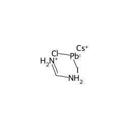 NC=[NH2+].[Cl][Pb][I].[Cs+]